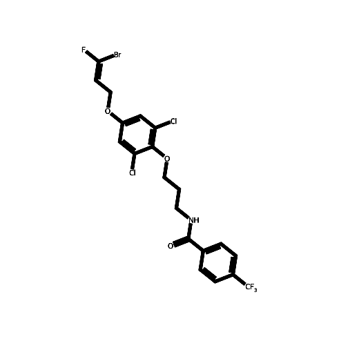 O=C(NCCCOc1c(Cl)cc(OC/C=C(/F)Br)cc1Cl)c1ccc(C(F)(F)F)cc1